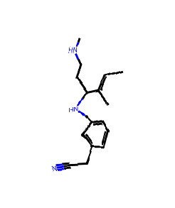 C/C=C(\C)C(CCNC)Nc1cccc(CC#N)c1